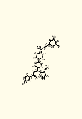 Cn1cc(-c2cc(-c3ccc(N4CCN(C(=O)C#Cc5cc(F)cc(Cl)n5)CC4)nc3)c3c(C#N)cnn3c2)cn1